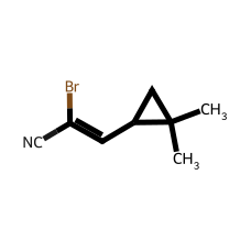 CC1(C)CC1/C=C(\Br)C#N